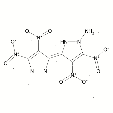 NN1NC(=C2N=NC([N+](=O)[O-])=C2[N+](=O)[O-])C([N+](=O)[O-])=C1[N+](=O)[O-]